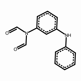 O=CN(C=O)c1cccc(Nc2ccccc2)c1